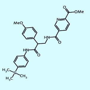 COC(=O)c1ccc(C(=O)NCC(C(=O)Nc2ccc([Si](C)(C)C)cc2)c2ccc(OC)cc2)cn1